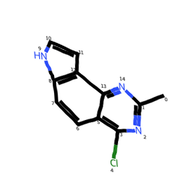 Cc1nc(Cl)c2ccc3[nH]ccc3c2n1